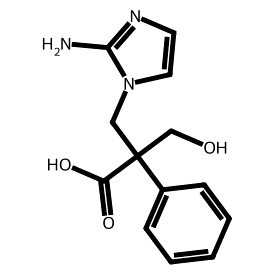 Nc1nccn1CC(CO)(C(=O)O)c1ccccc1